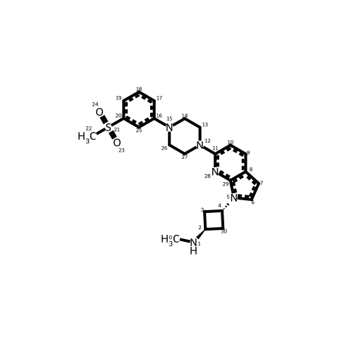 CN[C@H]1C[C@H](n2ccc3ccc(N4CCN(c5cccc(S(C)(=O)=O)c5)CC4)nc32)C1